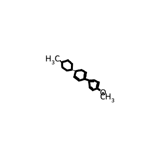 COc1ccc(C2=CCC([C@H]3CC[C@H](C)CC3)C=C2)cc1